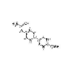 COc1ncc(-c2cnc(OC(N)=O)cn2)cn1